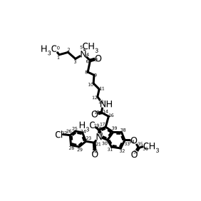 CCCCN(C)C(=O)CCCCCNC(=O)Cc1c(C)n(C(=O)c2ccc(Cl)cc2)c2ccc(OC(C)=O)cc12